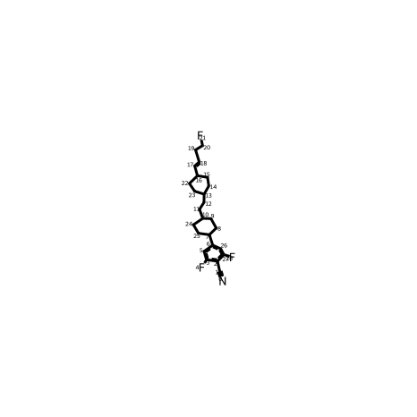 N#Cc1c(F)cc(C2CCC(CCC3CCC(C=CCCF)CC3)CC2)cc1F